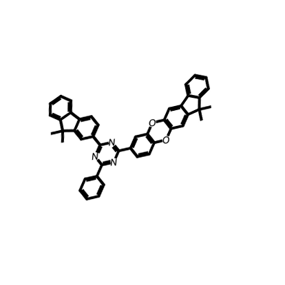 CC1(C)c2ccccc2-c2ccc(-c3nc(-c4ccccc4)nc(-c4ccc5c(c4)Oc4cc6c(cc4O5)C(C)(C)c4ccccc4-6)n3)cc21